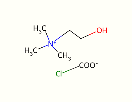 C[N+](C)(C)CCO.O=C([O-])Cl